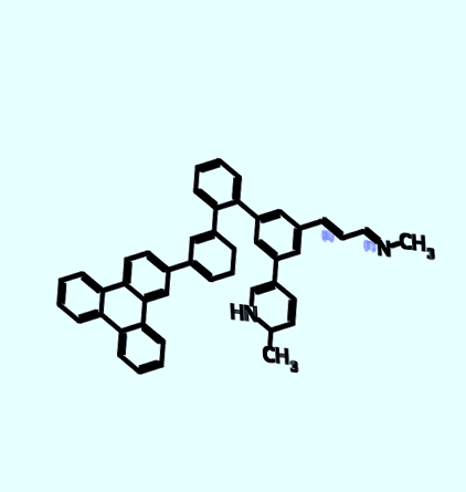 C/N=C/C=C/c1cc(C2=CNC(C)C=C2)cc(-c2ccccc2C2=CC(c3ccc4c5ccccc5c5ccccc5c4c3)=CCC2)c1